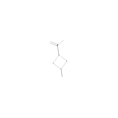 [2H]C1CC(C(C)=O)C1